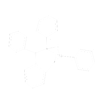 c1ccc(C2c3ccccc3C3OC2(c2ccccc2)ON3c2ccccc2)cc1